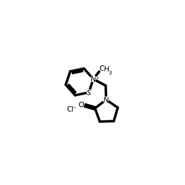 C[N+]1(CN2CCCC2=O)C=CC=CS1.[Cl-]